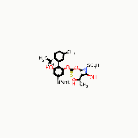 C=C(C)[C@@H]1CCC(C)=C[C@H]1c1c(O)cc(CCCCC)cc1OC(=S)OC1[C@@H]([C@@H](C)O)C(O)N1S(=O)(=O)O